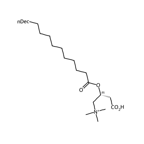 CCCCCCCCCCCCCCCCCCCC(=O)O[C@H](CC(=O)O)C[N+](C)(C)C